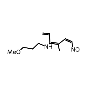 C=C/C(NCCCOC)=C(C)\C=C/N=O